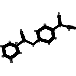 COC(=O)c1ccc(CC(=O)c2cccnc2)cc1